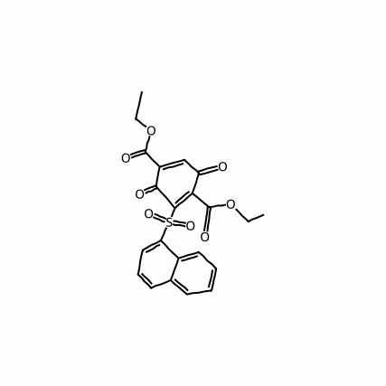 CCOC(=O)C1=CC(=O)C(C(=O)OCC)=C(S(=O)(=O)c2cccc3ccccc23)C1=O